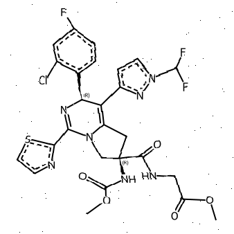 COC(=O)CNC(=O)[C@@]1(NC(=O)OC)CC2=C(c3ccn(C(F)F)n3)[C@H](c3ccc(F)cc3Cl)N=C(c3nccs3)N2C1